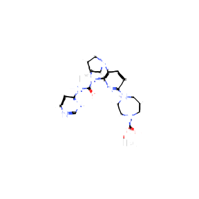 CC(C)(C)OC(=O)N1CCCN(c2ccc3c(n2)N(C(=O)Nc2ccncn2)[C@H]2CCN3C2)CC1